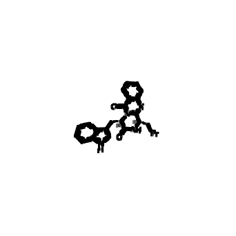 CC(C)C[C@@H]1NC(=O)[C@H](Cc2c[nH]c3ccccc23)n2c1nc1ccccc1c2=O